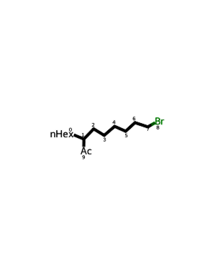 CCCCCCC(CCCCCCBr)C(C)=O